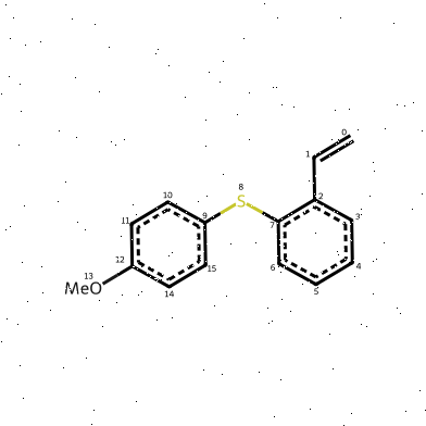 C=Cc1ccccc1Sc1ccc(OC)cc1